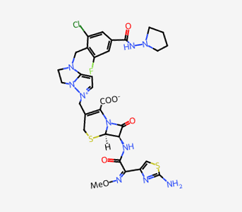 CO/N=C(\C(=O)N[C@@H]1C(=O)N2C(C(=O)[O-])=C(C[n+]3ccc4n3CCN4Cc3c(F)cc(C(=O)NN4CCCC4)cc3Cl)CS[C@H]12)c1csc(N)n1